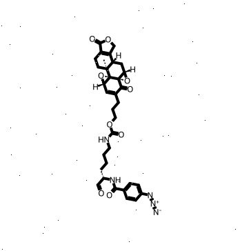 C[C@]12CCC3=C(COC3=O)[C@@H]1C[C@@H]1O[C@@]13C(=O)C(CCCOC(=O)NCCCC[C@@H](C=O)NC(=O)c1ccc(N=[N+]=[N-])cc1)=C[C@@H]1O[C@]123